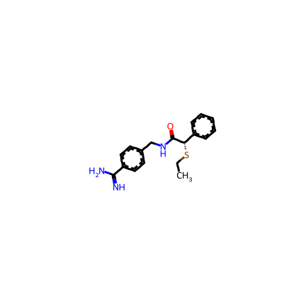 CCS[C@H](C(=O)NCc1ccc(C(=N)N)cc1)c1ccccc1